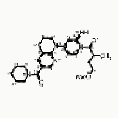 COCCC(C)C(=O)n1ccc(N2CCCc3cc(C(=O)N4CCCCC4)cnc32)cc1=N